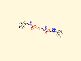 CC(C)CCNC(=O)OCCOCCNC(=O)OCc1cn(C(C)C)nn1